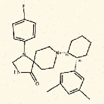 Cc1cc(C)cc([C@H]2CCCC[C@H]2N2CCC3(CC2)C(=O)NCN3c2ccc(F)cc2)c1